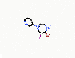 BrC1NCCN(c2cccnc2)CC1I